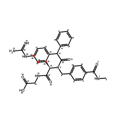 CNC(=O)c1ccc(CN(C(=O)C(c2ccccc2)c2ccccc2)[C@H](CCCNC(=N)N)C(=O)NCC(=O)O)cc1